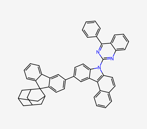 c1ccc(-c2nc(-n3c4ccc(-c5ccc6c(c5)-c5ccccc5C65C6CC7CC(C6)CC5C7)cc4c4c5ccccc5ccc43)nc3ccccc23)cc1